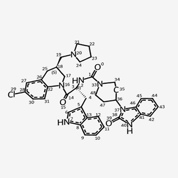 O=C(N[C@H](Cc1c[nH]c2ccccc12)C(=O)N1C[C@H](CN2CCCC2)Cc2cc(Cl)ccc21)N1CCC(n2c(=O)[nH]c3ccccc32)CC1